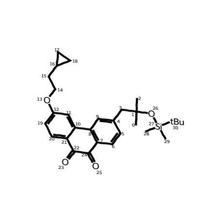 CC(C)(Cc1ccc2c(c1)-c1cc(OCCC3CC3)ccc1C(=O)C2=O)O[Si](C)(C)C(C)(C)C